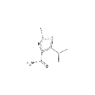 Cc1nc(C(N)=O)c(C(C)C)s1